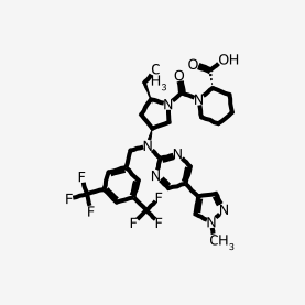 CC[C@@H]1C[C@H](N(Cc2cc(C(F)(F)F)cc(C(F)(F)F)c2)c2ncc(-c3cnn(C)c3)cn2)CN1C(=O)N1CCCC[C@H]1C(=O)O